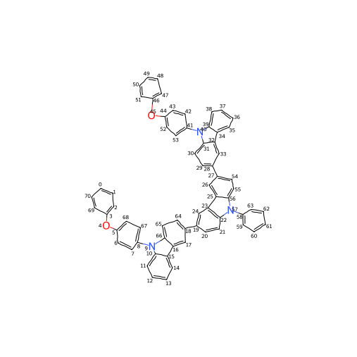 c1ccc(Oc2ccc(-n3c4ccccc4c4cc(-c5ccc6c(c5)c5cc(-c7ccc8c(c7)c7ccccc7n8-c7ccc(Oc8ccccc8)cc7)ccc5n6-c5ccccc5)ccc43)cc2)cc1